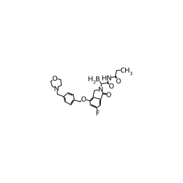 BC(C(=O)NC(=O)CC)N1Cc2c(OCc3ccc(CN4CCOCC4)cc3)cc(F)cc2C1=O